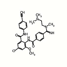 C#Cc1ccc(NC(=O)c2cc(Cl)cc(OC)c2NC(=O)c2ccc(C(=N)N(C)CCN(C)C)cc2)cc1